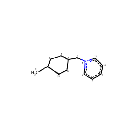 CC1CCC(C[n+]2ccccc2)CC1